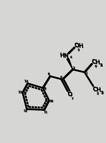 CC(C)[C@H](NO)C(=O)Cc1ccccc1